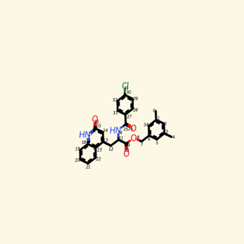 Cc1cc(C)cc(COC(=O)C(Cc2cc(=O)[nH]c3ccccc23)NC(=O)c2ccc(Cl)cc2)c1